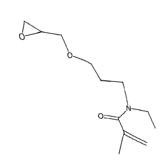 C=C(C)C(=O)N(CC)CCCOCC1CO1